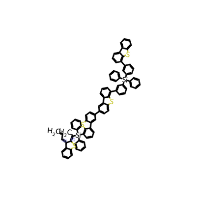 C=C/C=c1\c(=C(/C)[Si](c2ccccc2)(c2ccccc2)c2cccc3c2sc2ccc(-c4ccc5sc6c(-c7cccc([Si](c8ccccc8)(c8ccccc8)c8cccc(-c9cccc%10c9sc9ccccc9%10)c8)c7)cccc6c5c4)cc23)sc2ccccc12